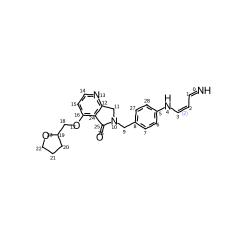 N=C/C=C\Nc1ccc(CN2Cc3nccc(OCC4CCCO4)c3C2=O)cc1